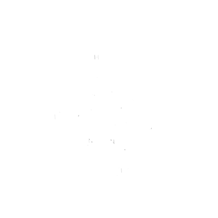 CC1C2c3c(C(F)(F)F)nn(CC=O)c3C3(SCCS3)C12